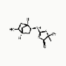 CC(C)C1(C)SC(N[C@H]2C[C@@H]3C[C@@H]2C[C@@H]3O)=NC1=O